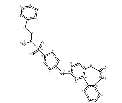 CN(CCc1ccccn1)S(=O)(=O)c1ccc(Nc2ncc3c(n2)-c2ccccc2NC(=O)C3)cc1